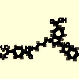 CC(C)c1ccc(C(=O)NCCCCn2cc(-c3cc4ccccc4o3)c3ccc(C(=O)O)cc32)cc1